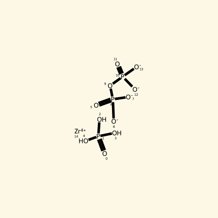 O=P(O)(O)O.O=P([O-])([O-])OP(=O)([O-])[O-].[Zr+4]